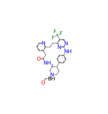 NC(=O)Cc1cccnc1CCc1nc(Nc2ccc(C3CCN(BC=O)CC3)cc2)ncc1C(F)(F)F